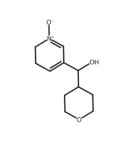 [O-][N+]1=CC(C(O)C2CCOCC2)=CCC1